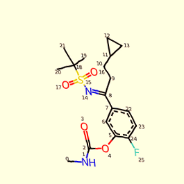 CNC(=O)Oc1cc(C(CCC2CC2)=NS(=O)(=O)C(C)(C)C)ccc1F